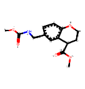 COC(=O)NCc1ccc2c(c1)C(C(=O)OC)CCO2